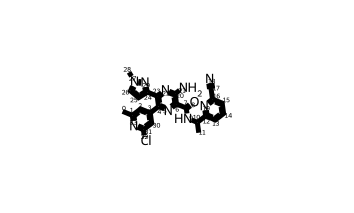 Cc1cc(-c2nc(C(=O)NC(C)c3cccc(C#N)n3)c(N)nc2-c2ccn(C)n2)cc(Cl)n1